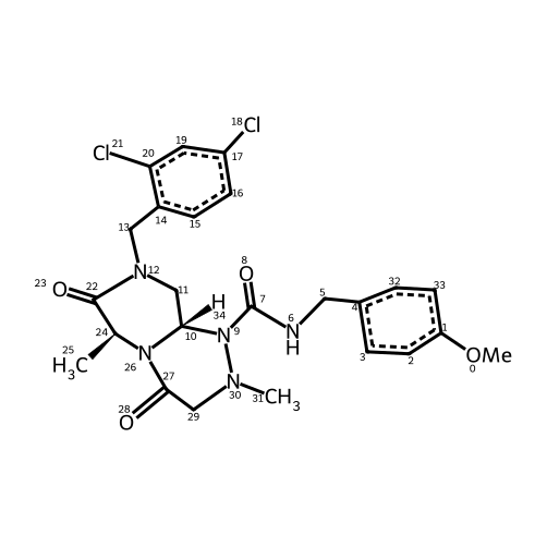 COc1ccc(CNC(=O)N2[C@H]3CN(Cc4ccc(Cl)cc4Cl)C(=O)[C@H](C)N3C(=O)CN2C)cc1